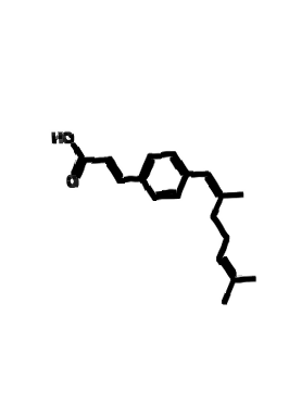 CC(C)=CCCC(C)=Cc1ccc(C=CC(=O)O)cc1